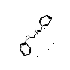 C(=NCOc1ccccc1)c1ccccc1